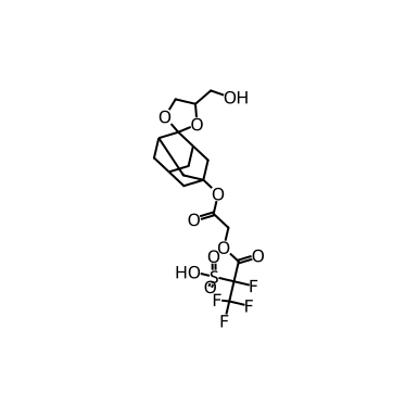 O=C(COC(=O)C(F)(C(F)(F)F)S(=O)(=O)O)OC12CC3CC(C1)C1(OCC(CO)O1)C(C3)C2